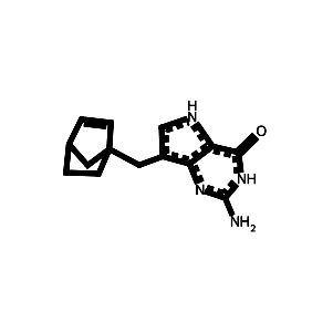 Nc1nc2c(CC34C=CC(CC3)C4)c[nH]c2c(=O)[nH]1